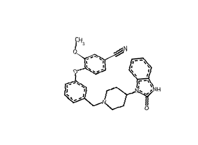 COc1cc(C#N)ccc1Oc1cccc(CN2CCC(n3c(=O)[nH]c4ccccc43)CC2)c1